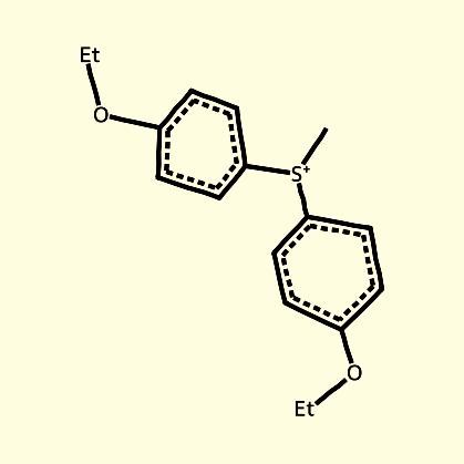 CCOc1ccc([S+](C)c2ccc(OCC)cc2)cc1